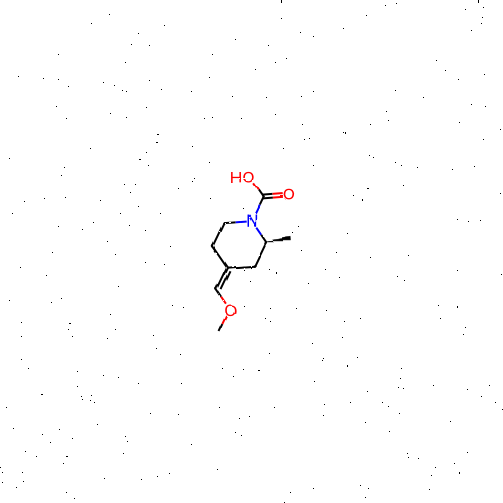 CO/C=C1/CCN(C(=O)O)[C@@H](C)C1